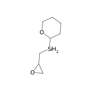 C1CCC([SiH2]CC2CO2)OC1